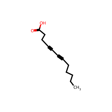 CCCCCC#CC#CCCC(=O)O